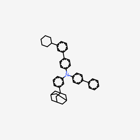 c1ccc(-c2ccc(N(c3ccc(-c4cccc(C5CCCCC5)c4)cc3)c3cccc(C45CC6CC(CC(C6)C4)C5)c3)cc2)cc1